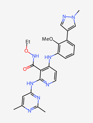 CCONC(=O)c1c(Nc2cccc(-c3cnn(C)c3)c2OC)ccnc1Nc1cc(C)nc(C)n1